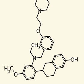 CCN(Cc1cccc(OCCN2CCCCC2)c1)c1cc(OC)ccc1C1CCc2cc(O)ccc2C1